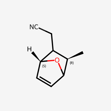 C[C@H]1C2C=C[C@@H](O2)C1CC#N